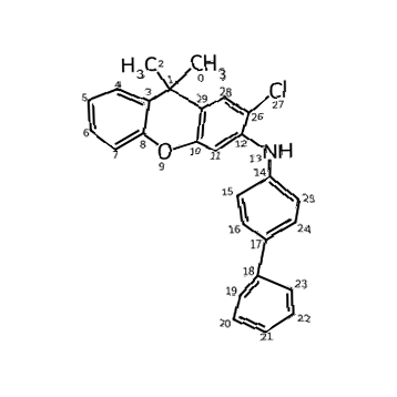 CC1(C)c2ccccc2Oc2cc(Nc3ccc(-c4ccccc4)cc3)c(Cl)cc21